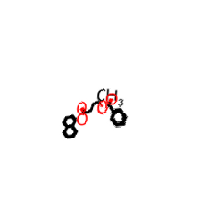 CC(CCC(=O)Oc1cccc2ccccc12)OC(=O)c1ccccc1